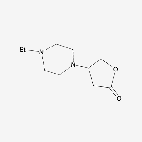 CCN1CCN(C2COC(=O)C2)CC1